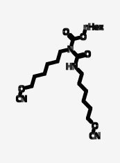 CCCCCCOC(=O)N(CCCCCCOC#N)C(=O)NCCCCCCOC#N